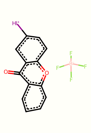 F[B-](F)(F)F.O=c1c2ccccc2oc2ccc([IH+])cc12